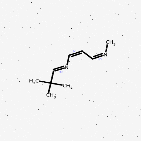 C\N=C/C=C\N=C\C(C)(C)C